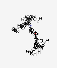 Cc1c(-c2ccc(N3CCc4c(OCCCP(=O)(O)O)ccc(C(=O)Nc5nc6ccccc6s5)c4C3)nc2C(=O)O)cnn1CC12CC3(C)CC(C)(C1)CC(OCCN(C)C(=O)OC/C=C/c1ccc(C[C@@H]4O[C@H](C(=O)O)[C@@H](O)[C@H](O)[C@@H]4O)c(NC(=O)CCNC(=O)CCCCCN4C(=O)C=CC4=O)c1)(C3)C2